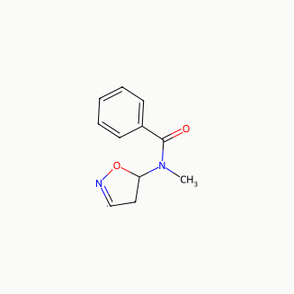 CN(C(=O)c1ccccc1)C1C[C]=NO1